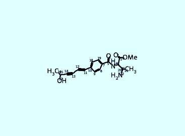 COC(=O)[C@@H](NC(=O)c1ccc(C#CC#CC(C)O)cc1)[C@@H](C)N